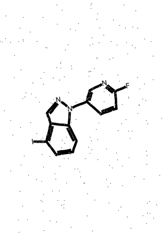 Fc1ccc(-n2ncc3c(I)cccc32)cn1